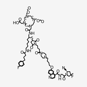 CC1(F)C[C@H](C#N)N(C(=O)CNC(=O)c2ccnc3ccc(OCCCCN4CCN(C(=O)CCCN5C(=O)CC(SC(CCCCCNC(=O)CCCc6ccc(I)cc6)CNC(=O)CN6CCN(COC=O)CCN(COC=O)CCN(CC(=O)O)CC6)C5=O)CC4)cc23)C1